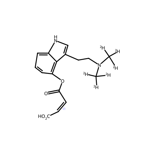 [2H]C([2H])([2H])N(CCc1c[nH]c2cccc(OC(=O)/C=C\C(=O)O)c12)C([2H])([2H])[2H]